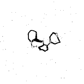 CN1CCCCC1=Nc1ccccc1N1CCOCC1